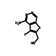 Nc1nncc2sc(CO)c(F)c12